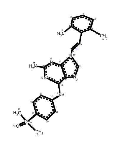 Cc1cccc(C)c1/C=C/n1cnc2c(Nc3ccc(P(C)(C)=O)cc3)nc(N)nc21